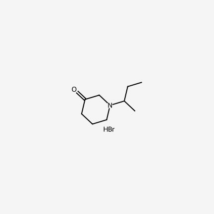 Br.CCC(C)N1CCCC(=O)C1